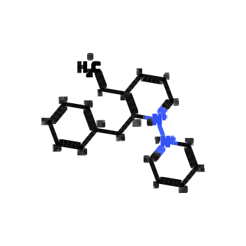 C=Cc1ccc[n+](-[n+]2ccccc2)c1Cc1ccccc1